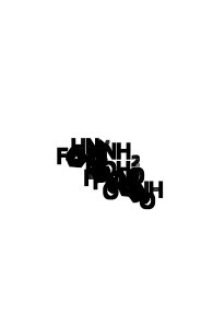 COc1nc(C(=O)NCC(O)(c2cc3c(c(-c4ccc(F)cc4)n2)NC[C@@]3(C)N)C(F)(F)F)cc2c1NC(=O)C2